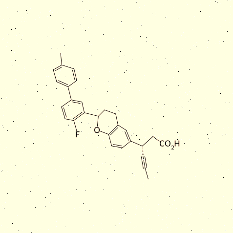 CC#C[C@@H](CC(=O)O)c1ccc2c(c1)CCC(c1cc(-c3ccc(C)cc3)ccc1F)O2